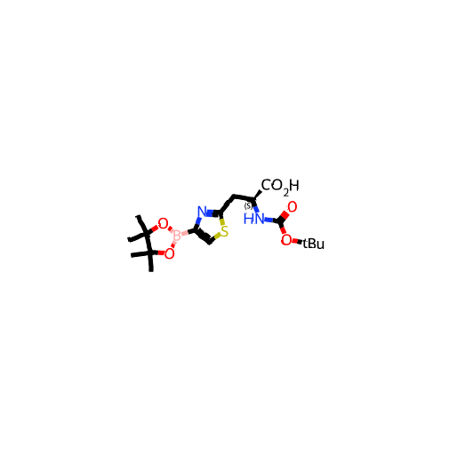 CC(C)(C)OC(=O)N[C@@H](Cc1nc(B2OC(C)(C)C(C)(C)O2)cs1)C(=O)O